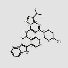 CC(C)c1cnn2c(N[C@H](C)c3ccccc3-c3cc4ccccc4[nH]3)nc(N3CCC(N)CC3)nc12